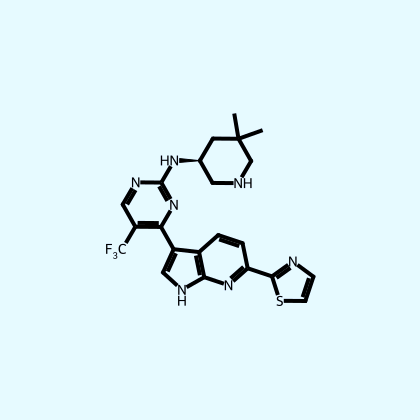 CC1(C)CNC[C@@H](Nc2ncc(C(F)(F)F)c(-c3c[nH]c4nc(-c5nccs5)ccc34)n2)C1